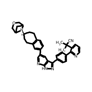 CC(C)(C#N)c1cccnc1-c1ccc(-c2n[nH]c3ncc(-c4ccc5c(c4)CC[C@@H](N4C6COCC4C6)CC5)cc23)cc1